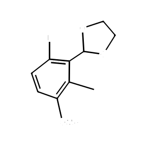 COc1ccc(F)c(C2OCCO2)c1C